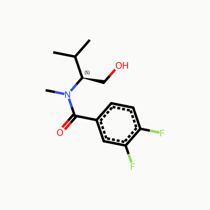 CC(C)[C@@H](CO)N(C)C(=O)c1ccc(F)c(F)c1